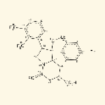 CCOC1(c2ccc(F)cc2)C(c2cccc(C(F)(F)F)c2C(F)(F)F)CN2C(=O)CC(C(=O)O)CC21